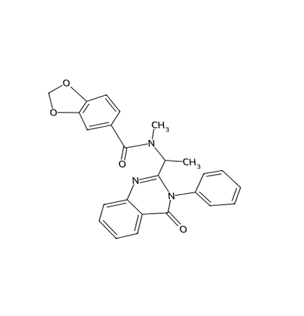 CC(c1nc2ccccc2c(=O)n1-c1ccccc1)N(C)C(=O)c1ccc2c(c1)OCO2